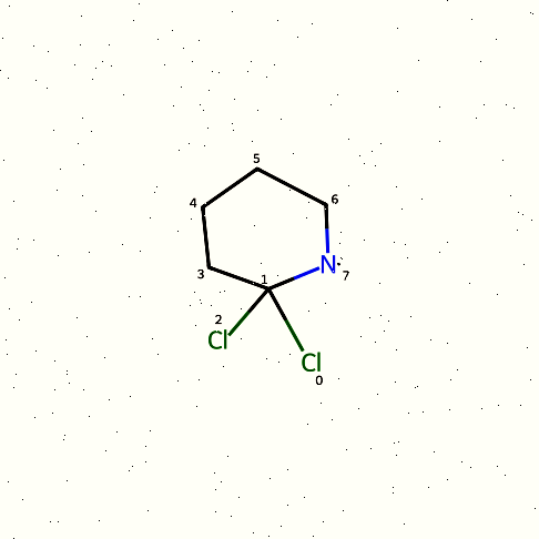 ClC1(Cl)CCCC[N]1